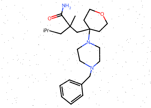 CC(C)CC(C)(CC1(N2CCN(Cc3ccccc3)CC2)CCOCC1)C(N)=O